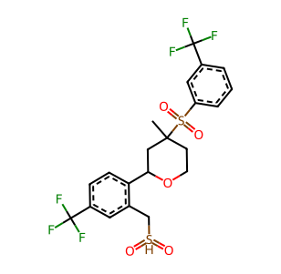 CC1(S(=O)(=O)c2cccc(C(F)(F)F)c2)CCOC(c2ccc(C(F)(F)F)cc2C[SH](=O)=O)C1